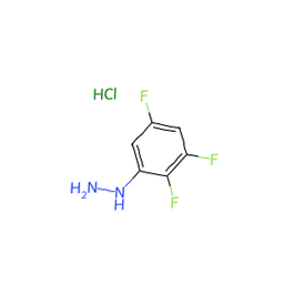 Cl.NNc1cc(F)cc(F)c1F